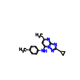 Cc1ccc(Nc2cc(C)nc3nc(C4CC4)nn23)cc1